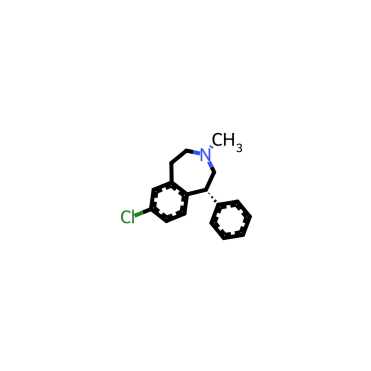 CN1CCc2cc(Cl)ccc2[C@@H](c2ccccc2)C1